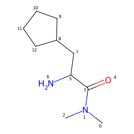 CN(C)C(=O)C(N)CC1CCCC1